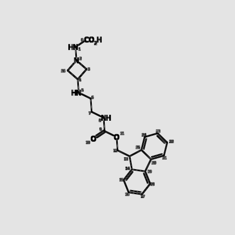 O=C(O)NN1CC(NCCNC(=O)OCC2c3ccccc3-c3ccccc32)C1